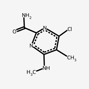 CNc1nc(C(N)=O)nc(Cl)c1C